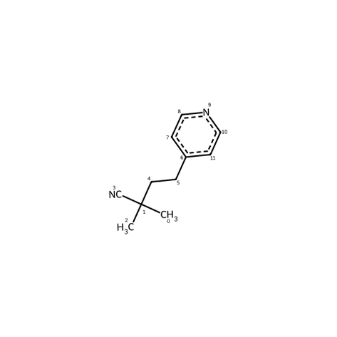 CC(C)(C#N)CCc1ccncc1